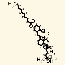 C=C1CC[C@H](OC(=O)CCCCCCCCC)C/C1=C/C=C1\CCC[C@]2(C)[C@@H]([C@H](C)CCCC(C)(C)O)CC[C@@H]12